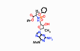 CNc1nc(N)nc2c1ncn2[C@@H]1OC(COP(=O)(N[C@H](C)C(=O)OC(C)C)Oc2ccccc2)[C@@H](O)[C@@H]1C